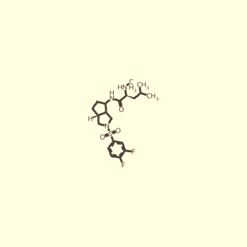 CN[C@@H](CC(C)C)C(=O)NC1CC[C@H]2CN(S(=O)(=O)c3ccc(F)c(F)c3)CC12